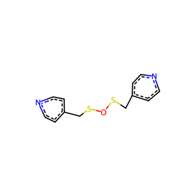 c1cc(CSOSCc2ccncc2)ccn1